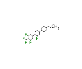 CCCC1CCC(C2CCC(C3CC(F)C(C(F)F)C(F)C3)C(F)C2)CC1